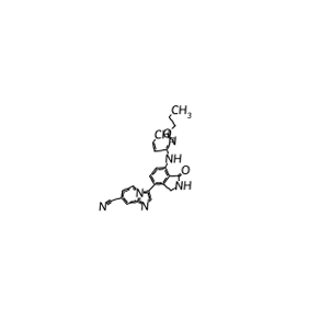 C/C=C\C(=N/OCCC)Nc1ccc(-c2cnc3cc(C#N)ccn23)c2c1C(=O)NC2